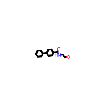 O=CCNC(=O)c1ccc(-c2ccccc2)cc1